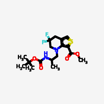 COC(=O)c1scc2c1N(CC(C)NC(=O)OC(C)(C)C)CC(F)(F)C2